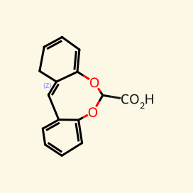 O=C(O)C1OC2=CC=CC/C2=C/c2ccccc2O1